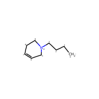 [CH2]CCCN1CC=CCC1